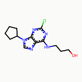 OCCCNc1nc(Cl)nc2c1ncn2C1CCCC1